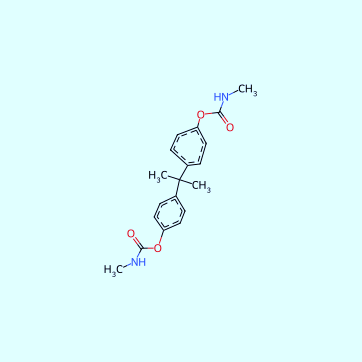 CNC(=O)Oc1ccc(C(C)(C)c2ccc(OC(=O)NC)cc2)cc1